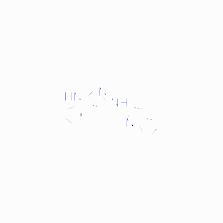 c1ccc2nc(CNc3cc4c(cn3)[nH]c3ccccc34)ccc2c1